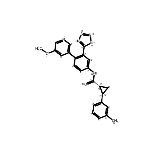 COc1cncc(-c2ccc(NC(=O)[C@@H]3C[C@H]3c3cccc(C)c3)cc2-c2nnn[nH]2)c1